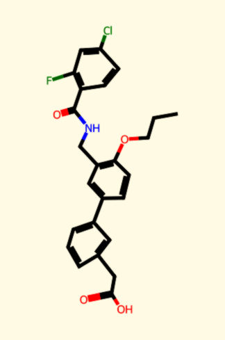 CCCOc1ccc(-c2cccc(CC(=O)O)c2)cc1CNC(=O)c1ccc(Cl)cc1F